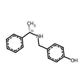 C[C@H](NCc1ccc(O)cc1)c1ccccc1